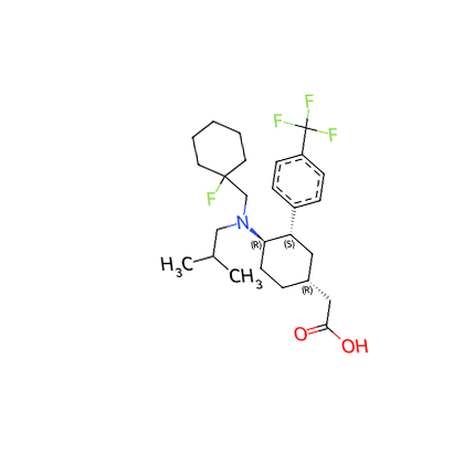 CC(C)CN(CC1(F)CCCCC1)[C@@H]1CC[C@@H](CC(=O)O)C[C@H]1c1ccc(C(F)(F)F)cc1